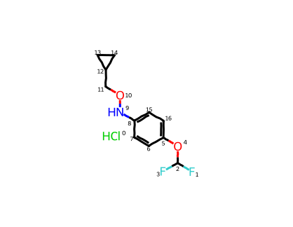 Cl.FC(F)Oc1ccc(NOCC2CC2)cc1